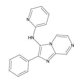 c1ccc(-c2nc3cnccn3c2Nc2ccccn2)cc1